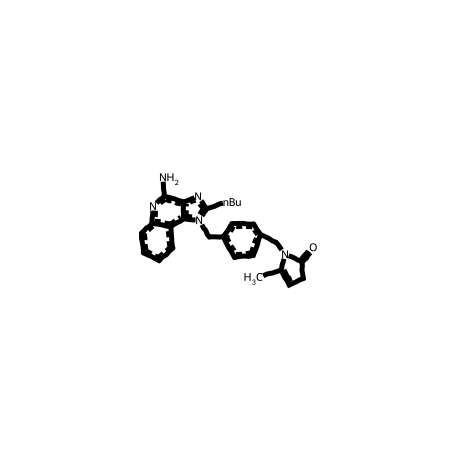 CCCCc1nc2c(N)nc3ccccc3c2n1Cc1ccc(CN2C(=O)CC=C2C)cc1